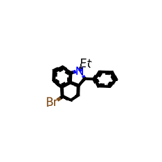 CCN1c2cccc3c2C(CCC3Br)C1c1ccccc1